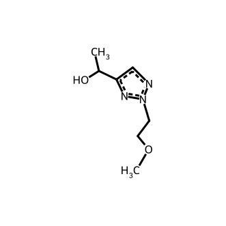 COCCn1ncc(C(C)O)n1